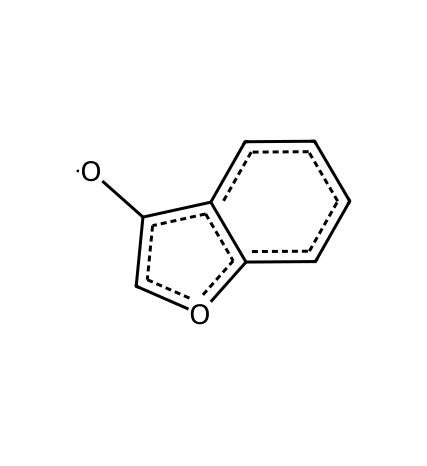 [O]c1coc2ccccc12